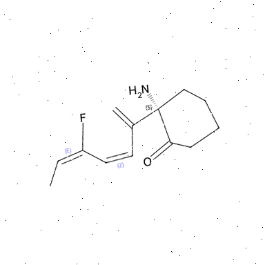 C=C(/C=C\C(F)=C/C)[C@@]1(N)CCCCC1=O